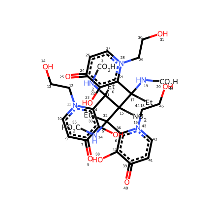 CCC(NC(=O)O)(c1c(O)c(=O)ccn1CCO)C([N+](=O)[O-])(C(CC)(NC(=O)O)c1c(O)c(=O)ccn1CCO)C(CC)(NC(=O)O)c1c(O)c(=O)ccn1CCO